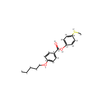 CCCCCOc1ccc(C(=O)Oc2ccc(SC)cc2)cc1